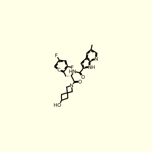 Cc1cnc2[nH]c(C(=O)N[C@@H](Cc3ccc(F)cc3F)C(=O)N3CC4(CC(O)C4)C3)cc2c1